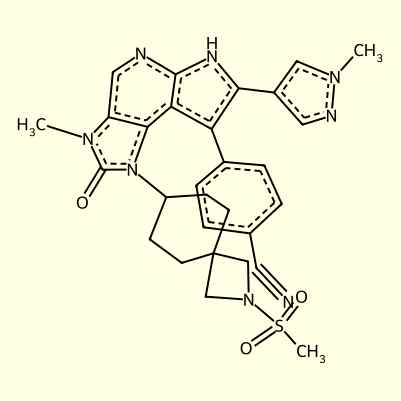 Cn1cc(-c2[nH]c3ncc4c(c3c2-c2ccc(C#N)cc2)n(C2CCC3(CC2)CN(S(C)(=O)=O)C3)c(=O)n4C)cn1